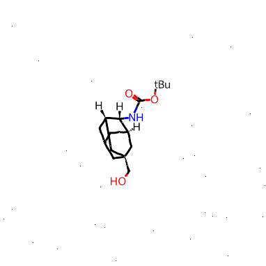 CC(C)(C)OC(=O)N[C@@H]1[C@@H]2CC3C[C@H]1C[C@@](CO)(C3)C2